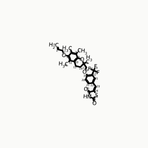 C=CCOc1c(C)c(C)c2c(c1C)CCC(C)(COc1ccc(/C=C3/SC(=O)NC3=O)cc1C(F)(F)F)O2